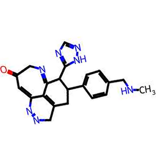 CNCc1ccc(C2CC3=C4C(=CC(=O)CN=C4C2c2ncn[nH]2)N=NC3)cc1